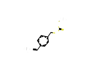 C=Cc1ccc(CSC(=S)SCCCC)cc1